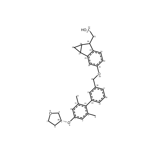 Cc1cc(O[C@@H]2CCOC2)cc(C)c1-c1cccc(COc2ccc3c(c2)C2CC2C3CC(=O)O)c1